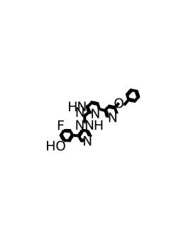 Oc1cc(F)cc(-c2cncc3[nH]c(-c4n[nH]c5ccc(-c6cncc(OCc7ccccc7)c6)nc45)nc23)c1